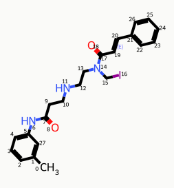 Cc1cccc(NC(=O)CCNCCN(CI)C(=O)/C=C/c2ccccc2)c1